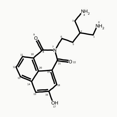 NCC(CN)CCN1C(=O)c2cccc3cc(O)cc(c23)C1=O